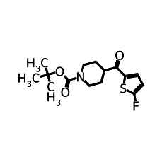 CC(C)(C)OC(=O)N1CCC(C(=O)c2ccc(F)s2)CC1